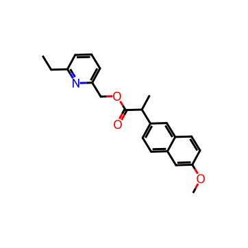 CCc1cccc(COC(=O)C(C)c2ccc3cc(OC)ccc3c2)n1